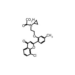 Cc1ccc(-c2cc(=O)c3cccc(Cl)c3o2)c(OCCN(C(=O)C(=O)O)C2CC2)c1